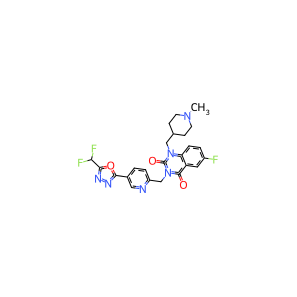 CN1CCC(Cn2c(=O)n(Cc3ccc(-c4nnc(C(F)F)o4)cn3)c(=O)c3cc(F)ccc32)CC1